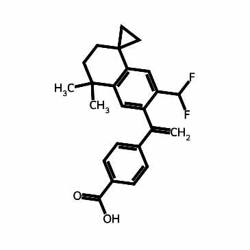 C=C(c1ccc(C(=O)O)cc1)c1cc2c(cc1C(F)F)C1(CCC2(C)C)CC1